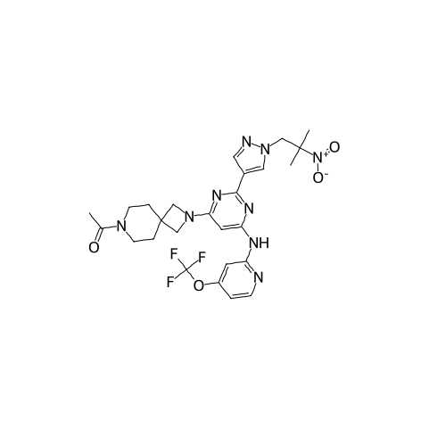 CC(=O)N1CCC2(CC1)CN(c1cc(Nc3cc(OC(F)(F)F)ccn3)nc(-c3cnn(CC(C)(C)[N+](=O)[O-])c3)n1)C2